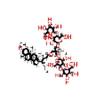 CO[C@@H]1CC[C@@]2(C)[C@H](CC[C@@H]3[C@@H]2CC[C@]2(C)[C@@H]([C@H](C)CCCOCC(C)(CO[C@@H]4OC(CO)[C@@H](O[C@H]5OC(CO)[C@@H](O)[C@H](O)C5O)[C@H](O)C4O)CO[C@@H]4OC(CO)[C@@H](O[C@@H]5OC(CO)[C@@H](O)[C@H](O)C5O)[C@H](O)C4O)CC[C@@H]32)C1